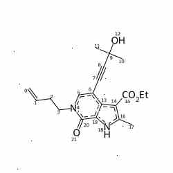 C=CCCn1cc(C#CC(C)(C)O)c2c(C(=O)OCC)c(C)[nH]c2c1=O